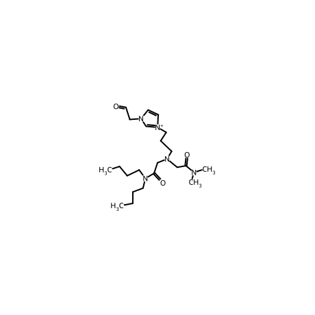 CCCCN(CCCC)C(=O)CN(CCC[n+]1ccn(CC=O)c1)CC(=O)N(C)C